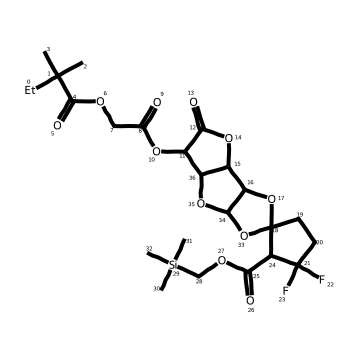 CCC(C)(C)C(=O)OCC(=O)OC1C(=O)OC2C3OC4(CCC(F)(F)C4C(=O)OC[Si](C)(C)C)OC3OC12